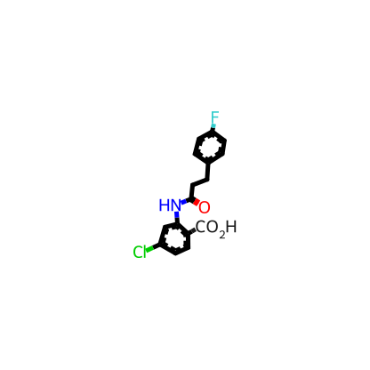 O=C(CCc1ccc(F)cc1)Nc1cc(Cl)ccc1C(=O)O